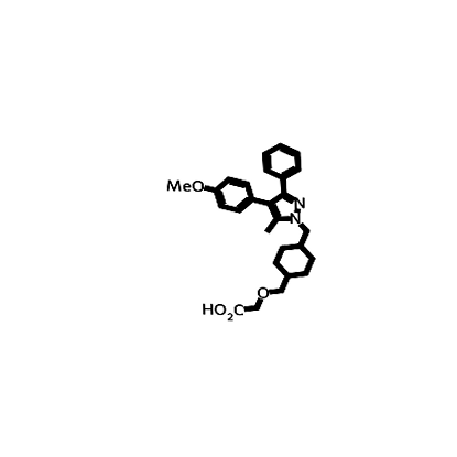 COc1ccc(-c2c(-c3ccccc3)nn(CC3CCC(COCC(=O)O)CC3)c2C)cc1